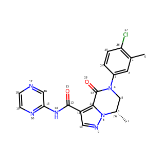 Cc1cc(N2C[C@H](C)n3ncc(C(=O)Nc4cnccn4)c3C2=O)ccc1Cl